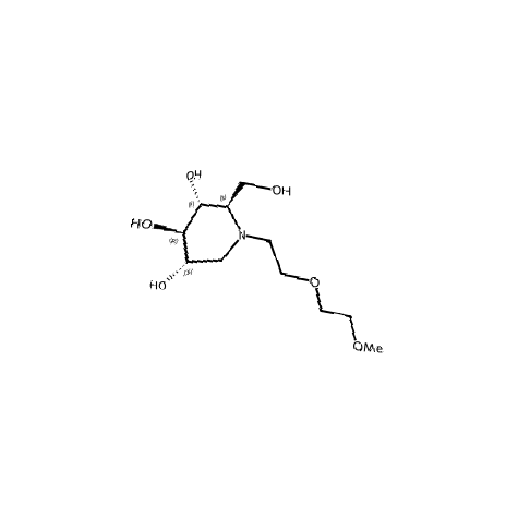 COCCOCCN1C[C@H](O)[C@@H](O)[C@H](O)[C@H]1CO